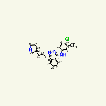 FC(F)(F)c1cc(Nc2nnc(CCCc3cccnc3)c3ccccc23)ccc1Cl